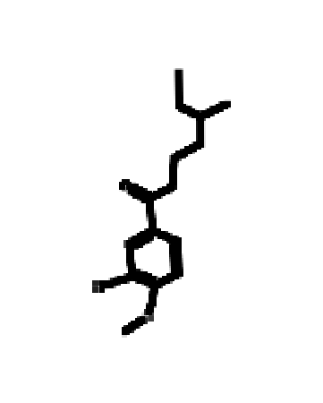 CCC(C)CCCC(=O)c1ccc(OC)c(Cl)c1